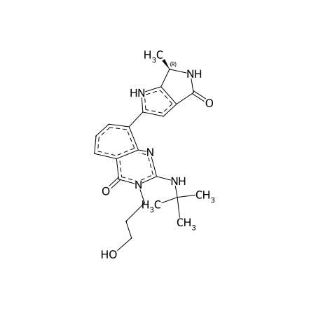 C[C@H]1NC(=O)c2cc(-c3cccc4c(=O)n(CCCO)c(NC(C)(C)C)nc34)[nH]c21